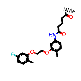 CNC(=O)CCCC(=O)Nc1ccc(C)c(OCCOc2cc(F)ccc2C)c1